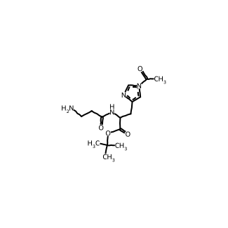 CC(=O)n1cnc(CC(NC(=O)CCN)C(=O)OC(C)(C)C)c1